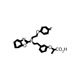 CC(Oc1cccc(CCN(CCOc2ccc(F)cc2)c2nc3ccccc3o2)c1)C(=O)O